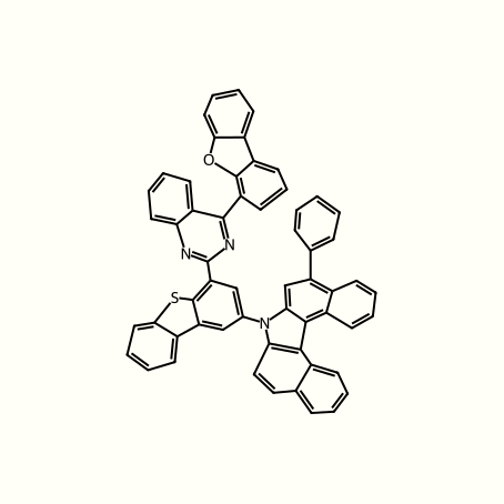 c1ccc(-c2cc3c(c4ccccc24)c2c4ccccc4ccc2n3-c2cc(-c3nc(-c4cccc5c4oc4ccccc45)c4ccccc4n3)c3sc4ccccc4c3c2)cc1